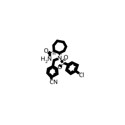 N#Cc1ccc(CN([C@H]2CCCCC[C@H]2C(N)=O)S(=O)(=O)c2ccc(Cl)cc2)cc1